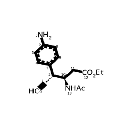 C#C[C@H](c1ccc(N)cc1)[C@@H](CC(=O)OCC)NC(C)=O